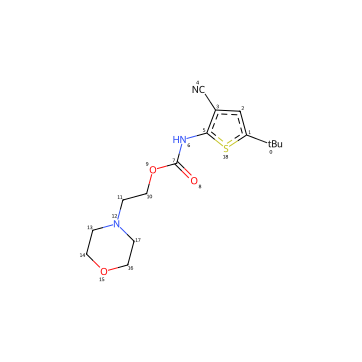 CC(C)(C)c1cc(C#N)c(NC(=O)OCCN2CCOCC2)s1